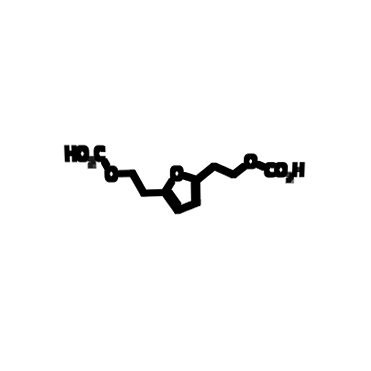 O=C(O)OCCc1ccc(CCOC(=O)O)o1